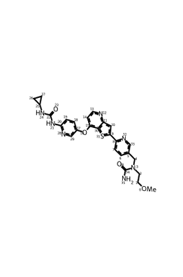 COCCN(Cc1ccc(-c2cc3nccc(Oc4ccc(NC(=O)NC5CC5)nc4)c3s2)nc1)C(N)=O